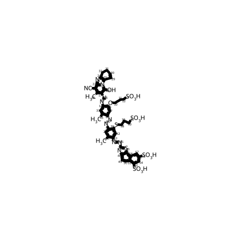 Cc1cc(N=Nc2cc(OCCCS(=O)(=O)O)c(N=Nc3c(C)c(C#N)c4nc5c(n4c3O)C=CCC5)cc2C)c(SCCCS(=O)(=O)O)cc1N=Nc1nc2ccc3c(S(=O)(=O)O)cc(S(=O)(=O)O)cc3c2s1